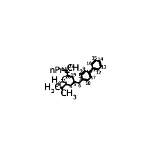 C=C(C)CCC(Cc1ccc(-c2ccccc2)cc1)CC(C)C(=C)CCC